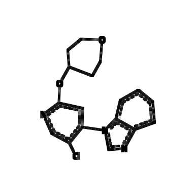 Clc1cnc(OC2CCOCC2)cc1-n1cnc2ccccc21